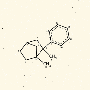 CC12CCC(C1)CC2(C)c1ccccc1